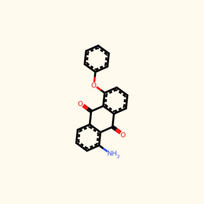 Nc1cccc2c1C(=O)c1cccc(Oc3ccccc3)c1C2=O